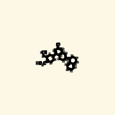 N#CCC1CN(c2nc(Cl)nc3c2CCC(N2CCCc4ccccc42)=C3)CCN1C(=O)O